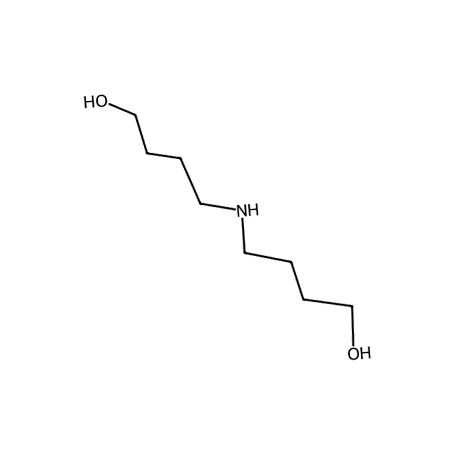 OCCCCNCCCCO